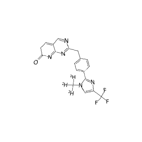 [2H]C([2H])([2H])n1cc(C(F)(F)F)nc1-c1ccc(Cc2ncc3c(n2)=NC(=O)CC=3)cc1